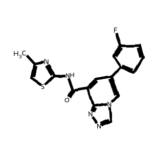 Cc1csc(NC(=O)c2cc(-c3cccc(F)c3)cn3cnnc23)n1